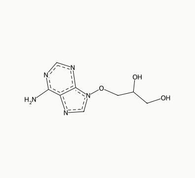 Nc1ncnc2c1ncn2OCC(O)CO